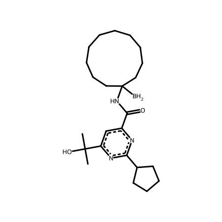 BC1(NC(=O)c2cc(C(C)(C)O)nc(C3CCCC3)n2)CCCCCCCCCC1